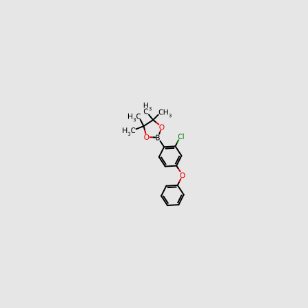 CC1(C)OB(c2ccc(Oc3ccccc3)cc2Cl)OC1(C)C